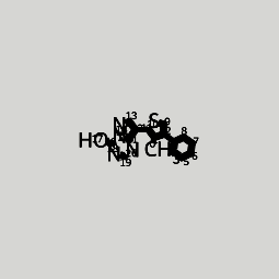 Cc1c(-c2ccccc2)csc1-c1cnn2c(O)ncnc12